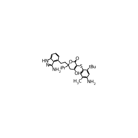 Cc1cc(SC2=C(O)CC(CCc3cccc4[nH]nc(N)c34)(C(C)C)OC2=O)c(C(C)(C)C)cc1N